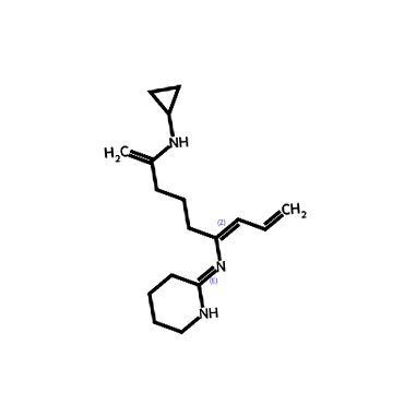 C=C/C=C(CCCC(=C)NC1CC1)\N=C1/CCCCN1